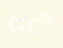 N#Cc1c(-c2ccccc2)nn2c(C(F)(F)F)ccnc12